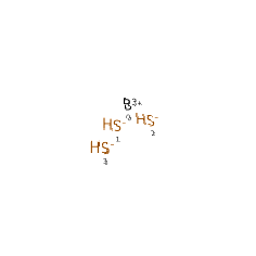 [B+3].[SH-].[SH-].[SH-]